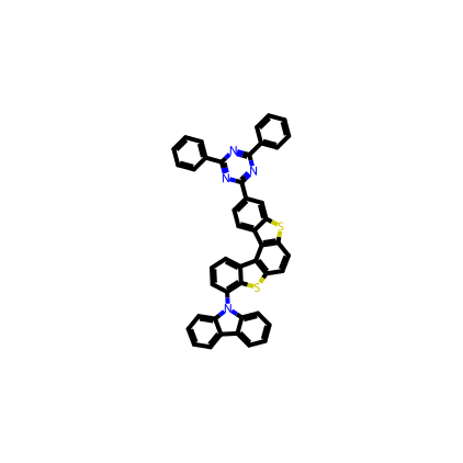 c1ccc(-c2nc(-c3ccccc3)nc(-c3ccc4c(c3)sc3ccc5sc6c(-n7c8ccccc8c8ccccc87)cccc6c5c34)n2)cc1